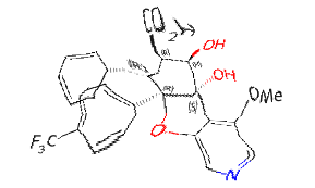 COc1cncc2c1[C@]1(O)[C@H](O)[C@H](C(=O)O)[C@@H](C3C=CC=CC3)[C@]1(c1ccc(C(F)(F)F)cc1)O2